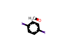 C=O.Ic1ccc(I)cc1